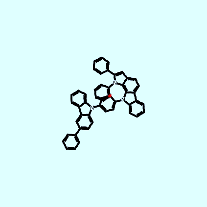 c1ccc(-c2ccc3c(c2)c2ccccc2n3-c2ccc(-n3c4ccccc4c4ccc5cc(-c6ccccc6)n(-c6ccccc6)c5c43)cc2)cc1